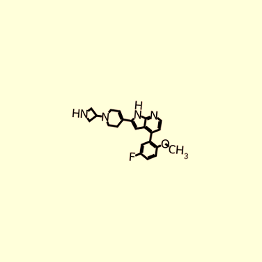 COc1ccc(F)cc1-c1ccnc2[nH]c(C3=CCN(C4CNC4)CC3)cc12